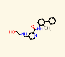 Cc1c(NC(=O)c2cc(CNCCO)ccn2)cccc1-c1ccccc1